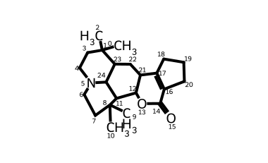 CC1(C)CCN2CCC(C)(C)C3C4OC(=O)C5=C(CCC5)C4CC1C32